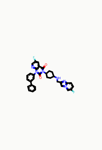 O=c1c2cc(F)cnc2n(-c2cccc(-c3ccccc3)c2)c(=O)n1C1CCC(NCc2cn3cc(F)ccc3n2)CC1